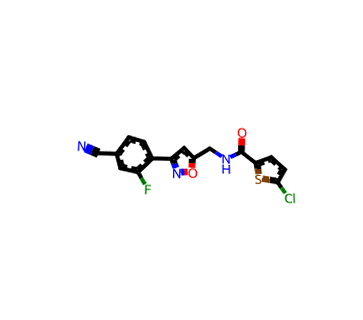 N#Cc1ccc(-c2cc(CNC(=O)c3ccc(Cl)s3)on2)c(F)c1